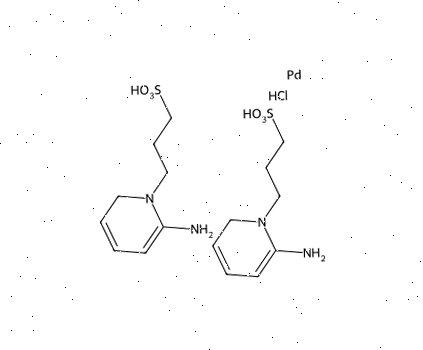 Cl.NC1=CC=CCN1CCCS(=O)(=O)O.NC1=CC=CCN1CCCS(=O)(=O)O.[Pd]